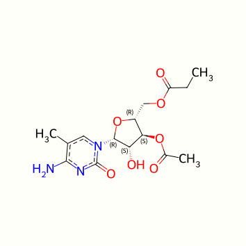 CCC(=O)OC[C@H]1O[C@@H](n2cc(C)c(N)nc2=O)[C@@H](O)[C@@H]1OC(C)=O